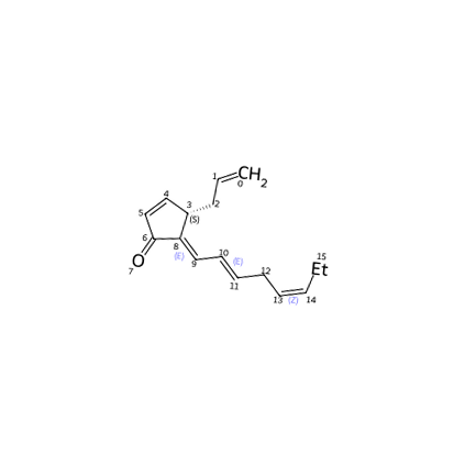 C=CC[C@H]1C=CC(=O)/C1=C/C=C/C/C=C\CC